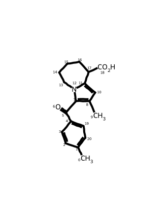 Cc1ccc(C(=O)c2c(C)cc3n2CCCCC3C(=O)O)cc1